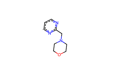 [c]1ccnc(CN2CCOCC2)n1